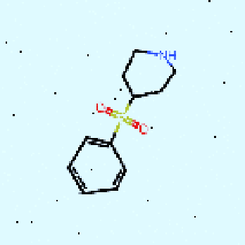 O=S(=O)(c1cc[c]cc1)C1CCNCC1